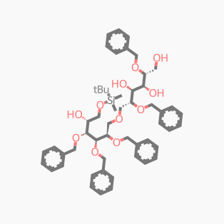 CC(C)(C)[Si](C)(C)OC[C@@H](O)[C@@H](OCc1ccccc1)[C@H](OCc1ccccc1)[C@@H](COC[C@@H](OCc1ccccc1)[C@@H](O)[C@H](O)[C@@H](CO)OCc1ccccc1)OCc1ccccc1